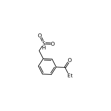 CCC(=O)c1cccc(C[SH](=O)=O)c1